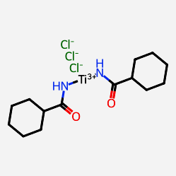 O=C([NH][Ti+3][NH]C(=O)C1CCCCC1)C1CCCCC1.[Cl-].[Cl-].[Cl-]